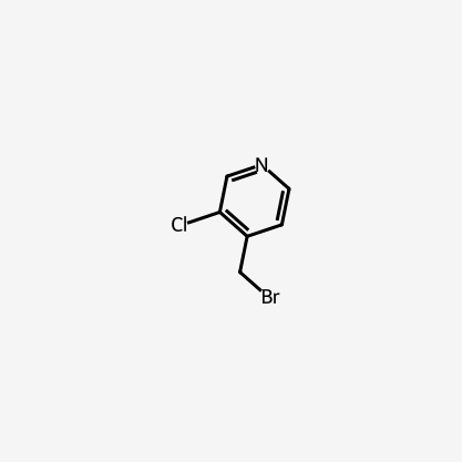 Clc1cnccc1CBr